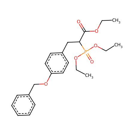 CCOC(=O)C(Cc1ccc(OCc2ccccc2)cc1)P(=O)(OCC)OCC